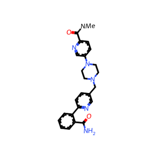 CNC(=O)c1ccc(N2CCN(Cc3ccc(-c4ccccc4C(N)=O)nc3)CC2)cn1